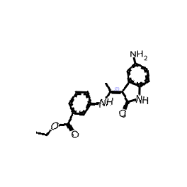 CCOC(=O)c1cccc(N/C(C)=C2\C(=O)Nc3ccc(N)cc32)c1